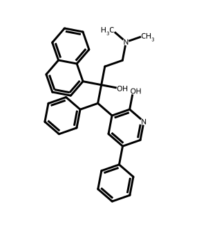 CN(C)CCC(O)(C1=C=C=Cc2ccccc21)C(c1ccccc1)c1cc(-c2ccccc2)cnc1O